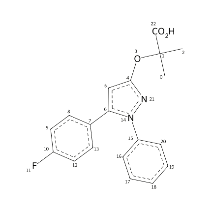 CC(C)(Oc1cc(-c2ccc(F)cc2)n(-c2ccccc2)n1)C(=O)O